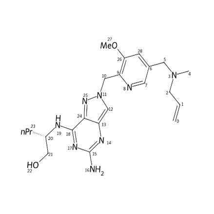 C=CCN(C)Cc1cnc(Cn2cc3nc(N)nc(N[C@H](CO)CCC)c3n2)c(OC)c1